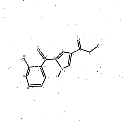 Cn1cc(C(=O)CCl)cc1C(=O)c1ccccc1Cl